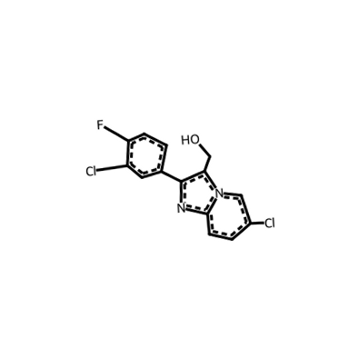 OCc1c(-c2ccc(F)c(Cl)c2)nc2ccc(Cl)cn12